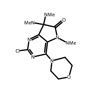 CNN1C(=O)C(NC)(NC)c2nc(Cl)nc(N3CCOCC3)c21